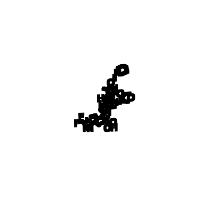 Cc1ccc(C(c2ccn3c(C(F)F)nnc3c2C)C(C)(C)C(=O)O)nc1CN1CC2(CCOCC2)Oc2nc(OCCN3CCCCC3)c(C)cc2S1(O)O